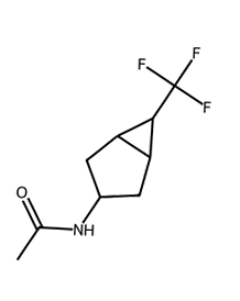 CC(=O)NC1CC2C(C1)C2C(F)(F)F